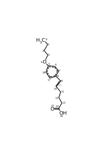 CCCCOc1ccc(/C=C/CCCC(=O)O)cc1